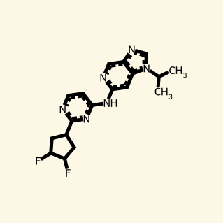 CC(C)n1cnc2cnc(Nc3ccnc(C4CC(F)C(F)C4)n3)cc21